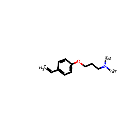 C=Cc1ccc(OCCCN(CCC)C(C)CC)cc1